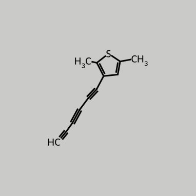 C#CC#CC#Cc1cc(C)sc1C